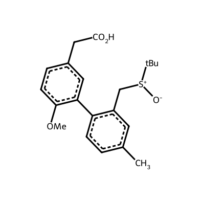 COc1ccc(CC(=O)O)cc1-c1ccc(C)cc1C[S+]([O-])C(C)(C)C